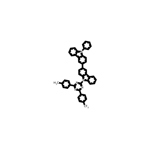 Cc1ccc(-c2nc(-c3ccc(C(F)(F)F)cc3)nc(-n3c4ccccc4c4cc(-c5ccc6c(c5)c5ccccc5n6-c5ccccc5)ccc43)n2)cc1